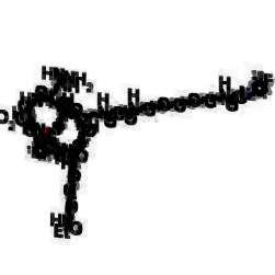 CCC(=O)NCCOCCOCCOCCNC(=O)[C@@H]1CSCC(=O)N[C@@H](CCCCNC(=O)COCC(=O)NCCOCCOCCOCCOCCOCCNC(=O)CO/N=C/c2ccc([18F])cc2)C(=O)N[C@H]2CSSC[C@H](NC(=O)[C@H](CC(=O)O)NC(=O)CNC(=O)[C@H](CCCNC(=N)N)NC2=O)C(=O)N[C@@H](Cc2ccccc2)C(=O)N1